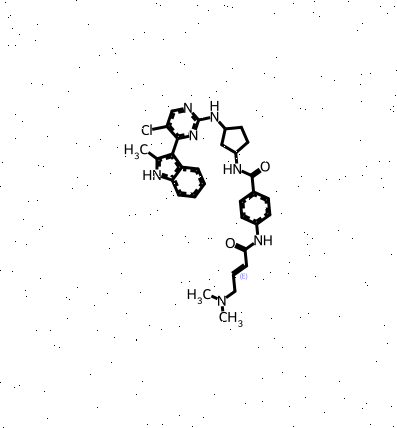 Cc1[nH]c2ccccc2c1-c1nc(NC2CCC(NC(=O)c3ccc(NC(=O)/C=C/CN(C)C)cc3)C2)ncc1Cl